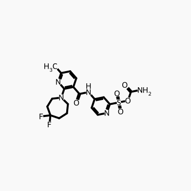 Cc1ccc(C(=O)Nc2ccnc(S(=O)(=O)OC(N)=O)c2)c(N2CCCC(F)(F)CC2)n1